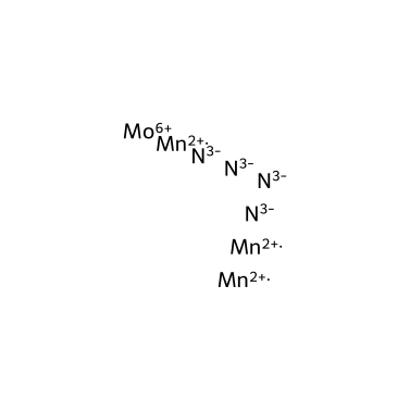 [Mn+2].[Mn+2].[Mn+2].[Mo+6].[N-3].[N-3].[N-3].[N-3]